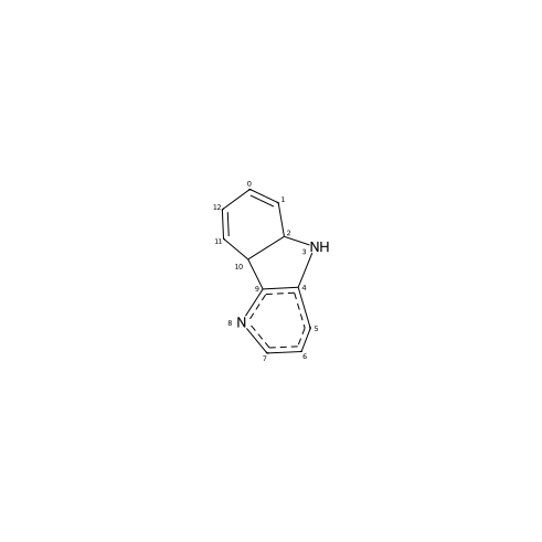 C1=CC2Nc3cccnc3C2C=C1